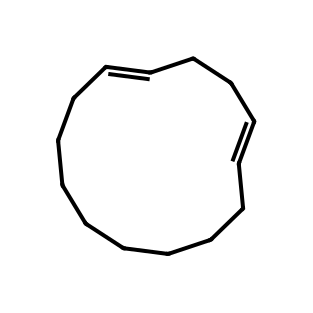 C1=C/CCCCCCCC/C=C/CC/1